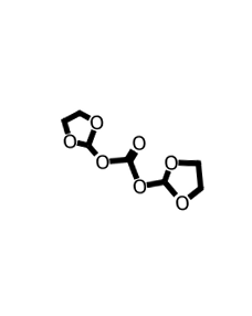 O=C(OC1OCCO1)OC1OCCO1